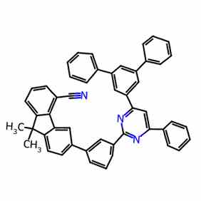 CC1(C)c2ccc(-c3cccc(-c4nc(-c5ccccc5)cc(-c5cc(-c6ccccc6)cc(-c6ccccc6)c5)n4)c3)cc2-c2c(C#N)cccc21